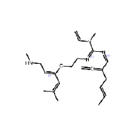 C=C=C(/C=N\C(=N\CCO/C(C=C(C)C)=C\CNC)N(C)C=C)CC=CC